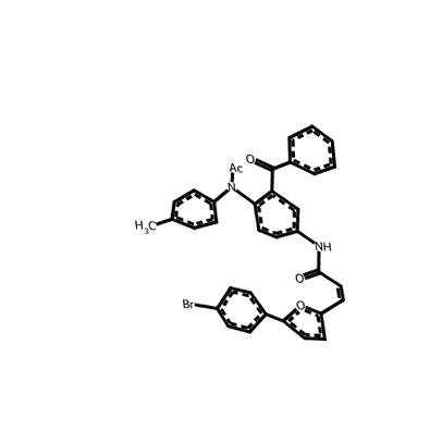 CC(=O)N(c1ccc(C)cc1)c1ccc(NC(=O)/C=C\c2ccc(-c3ccc(Br)cc3)o2)cc1C(=O)c1ccccc1